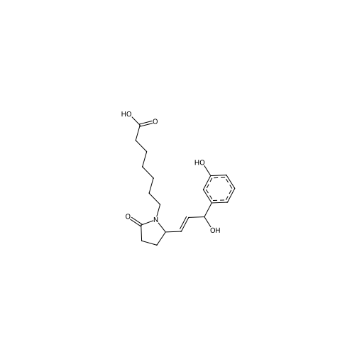 O=C(O)CCCCCCN1C(=O)CCC1/C=C/C(O)c1cccc(O)c1